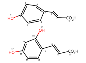 O=C(O)C=Cc1ccc(O)cc1.O=C(O)C=Cc1ccc(O)cc1O